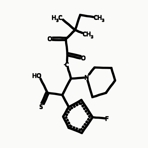 CCC(C)(C)C(=O)C(=O)[CH]C(C(C(O)=S)c1cccc(F)c1)N1CCCCC1